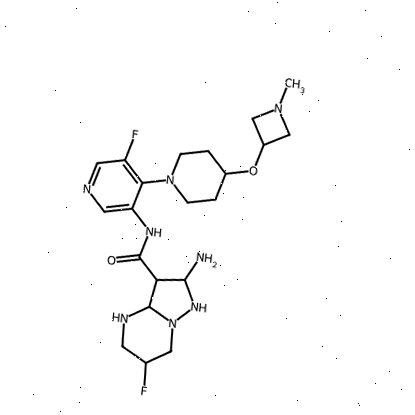 CN1CC(OC2CCN(c3c(F)cncc3NC(=O)C3C(N)NN4CC(F)CNC34)CC2)C1